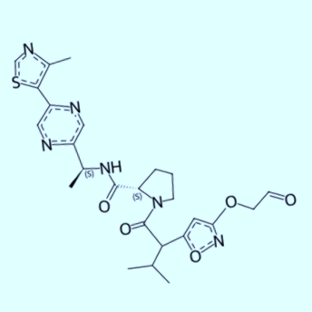 Cc1ncsc1-c1cnc([C@H](C)NC(=O)[C@@H]2CCCN2C(=O)C(c2cc(OCC=O)no2)C(C)C)cn1